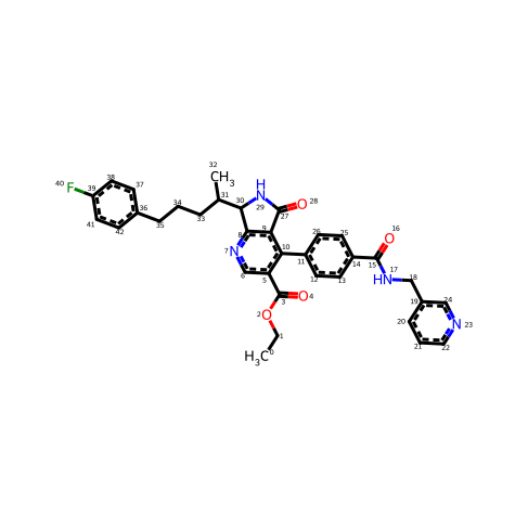 CCOC(=O)c1cnc2c(c1-c1ccc(C(=O)NCc3cccnc3)cc1)C(=O)NC2C(C)CCCc1ccc(F)cc1